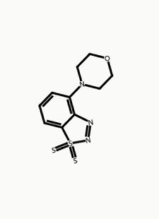 S=S1(=S)N=Nc2c(N3CCOCC3)cccc21